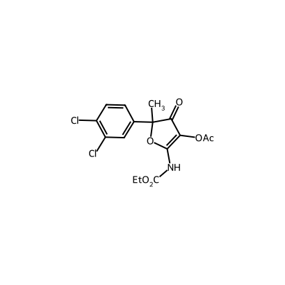 CCOC(=O)NC1=C(OC(C)=O)C(=O)C(C)(c2ccc(Cl)c(Cl)c2)O1